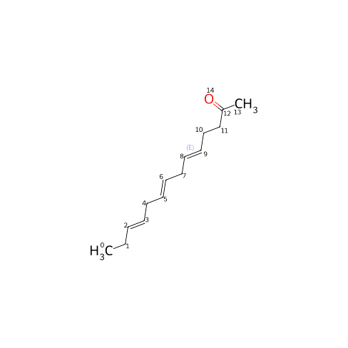 CCC=CCC=CC/C=C/CCC(C)=O